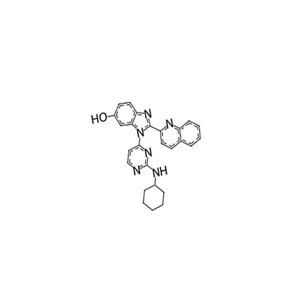 Oc1ccc2nc(-c3ccc4ccccc4n3)n(-c3ccnc(NC4CCCCC4)n3)c2c1